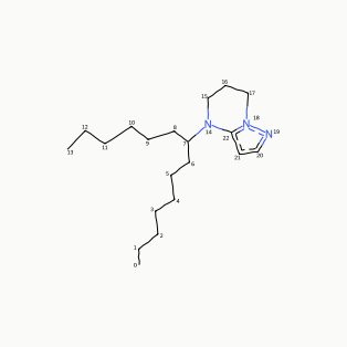 CCCCCCCC(CCCCCC)N1CCCn2nccc21